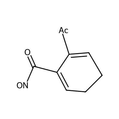 CC(=O)C1=CCCC=C1C(=O)N=O